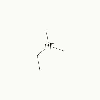 C[CH2][Hf+]([CH3])[CH3]